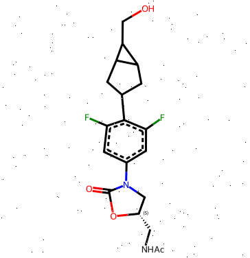 CC(=O)NC[C@H]1CN(c2cc(F)c(C3CC4C(CO)C4C3)c(F)c2)C(=O)O1